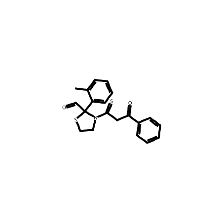 Cc1ccccc1C1(C=O)SCCN1C(=S)CC(=O)c1ccccc1